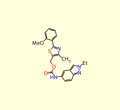 CCn1cc2cc(NC(=O)OCc3sc(-c4ccccc4OC)nc3C)ccc2n1